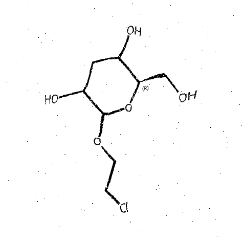 OC[C@H]1OC(OCCCl)C(O)CC1O